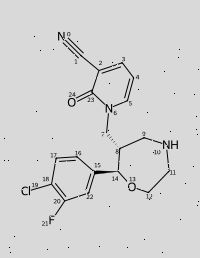 N#Cc1cccn(C[C@@H]2CNCCO[C@H]2c2ccc(Cl)c(F)c2)c1=O